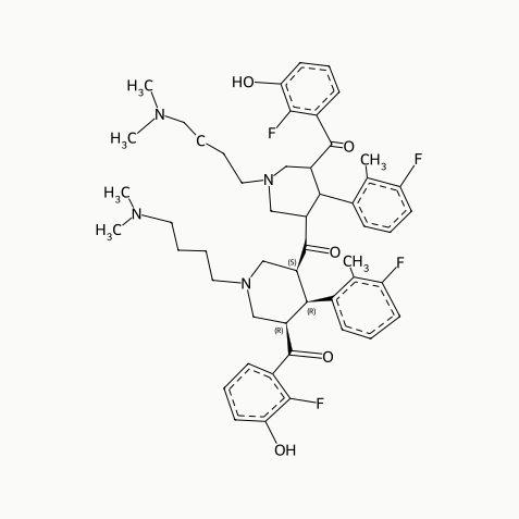 Cc1c(F)cccc1C1C(C(=O)c2cccc(O)c2F)CN(CCCCN(C)C)CC1C(=O)[C@@H]1CN(CCCCN(C)C)C[C@H](C(=O)c2cccc(O)c2F)[C@@H]1c1cccc(F)c1C